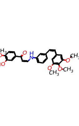 COc1ccc(C(=O)/C=C\Nc2cccc(/C=C\c3cc(OC)c(OC)c(OC)c3)c2)cc1O